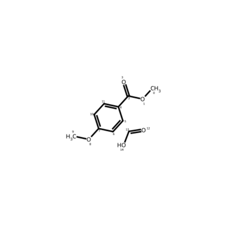 COC(=O)c1ccc(OC)cc1.O=CO